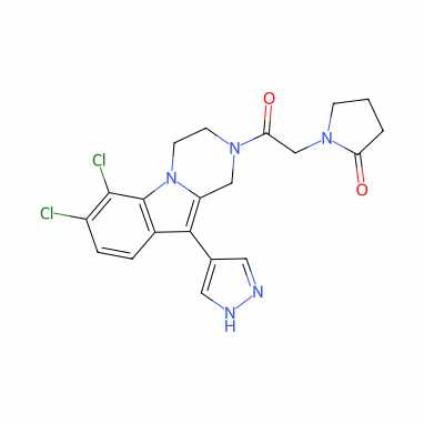 O=C1CCCN1CC(=O)N1CCn2c(c(-c3cn[nH]c3)c3ccc(Cl)c(Cl)c32)C1